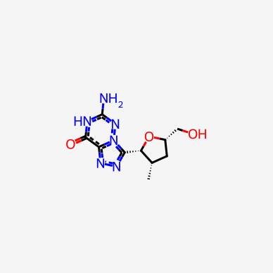 C[C@H]1C[C@@H](CO)O[C@H]1c1nnc2c(=O)[nH]c(N)nn12